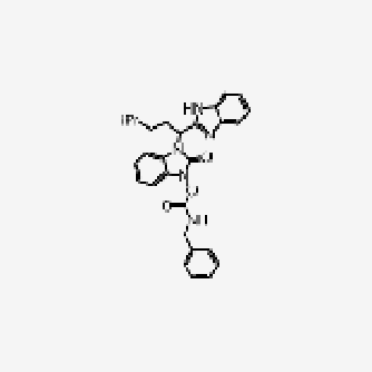 CC(C)CCC(c1nc2ccccc2[nH]1)n1c(=O)n(OC(=O)NCc2ccccc2)c2ccccc21